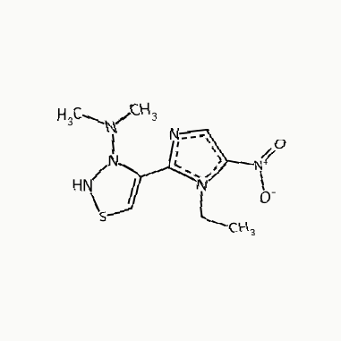 CCn1c([N+](=O)[O-])cnc1C1=CSNN1N(C)C